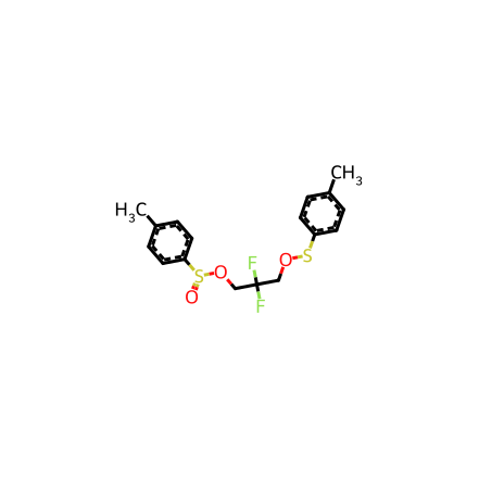 Cc1ccc(SOCC(F)(F)COS(=O)c2ccc(C)cc2)cc1